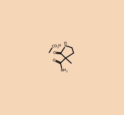 CC(=O)O.CC1(C(N)=O)CCNC1=O